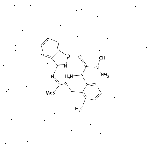 CSC(=Nc1noc2ccccc12)SCc1c(C)cccc1N(N)C(=O)N(C)N